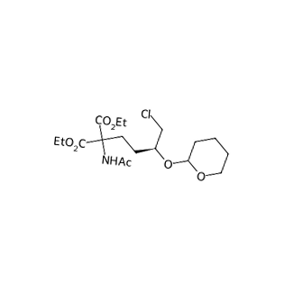 CCOC(=O)C(CC[C@@H](CCl)OC1CCCCO1)(NC(C)=O)C(=O)OCC